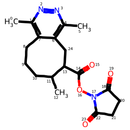 Cc1nnc(C)c2c1CCCC(C)C(C(=O)ON1C(=O)CCC1=O)C2